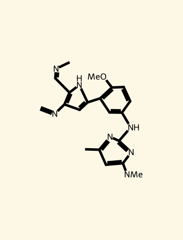 C=Nc1cc(-c2cc(Nc3nc(C)cc(NC)n3)ccc2OC)[nH]c1/C=N\C